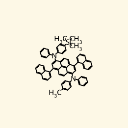 Cc1ccc(N(c2ccccc2)c2cc(-c3cccc4ccccc34)c3ccc4c(N(c5ccccc5)c5ccc([Si](C)(C)C)cc5)cc(-c5cccc6ccccc56)c5ccc2c3c54)cc1